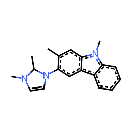 Cc1cc2c(cc1N1C=CN(C)C1C)c1ccccc1n2C